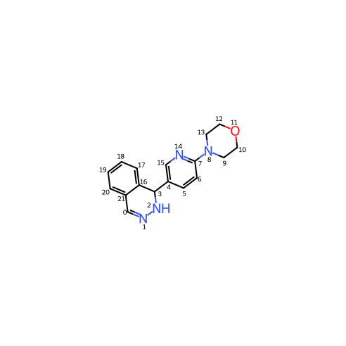 C1=NNC(c2ccc(N3CCOCC3)nc2)c2ccccc21